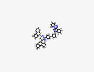 C1=C(c2cc3ccccc3c3ccccc23)N=C(c2ccc(-c3cccc(-c4nc5c(nc6ccccn65)c5ccccc45)c3)cc2)NC1c1cc2ccccc2c2ccccc12